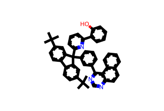 CC(C)(C)c1ccc2c(c1)C(c1cccc(-c3ncnc4ccc5ccccc5c34)c1)(c1cccc(-c3ccccc3O)n1)c1cc(C(C)(C)C)ccc1-2